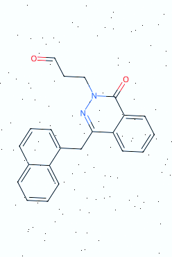 O=CCCn1nc(Cc2cccc3ccccc23)c2ccccc2c1=O